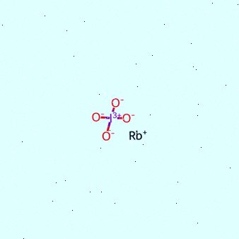 [O-][I+3]([O-])([O-])[O-].[Rb+]